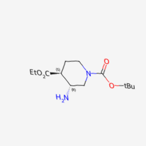 CCOC(=O)[C@H]1CCN(C(=O)OC(C)(C)C)C[C@@H]1N